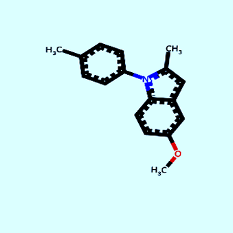 COc1ccc2c(c1)cc(C)n2-c1ccc(C)cc1